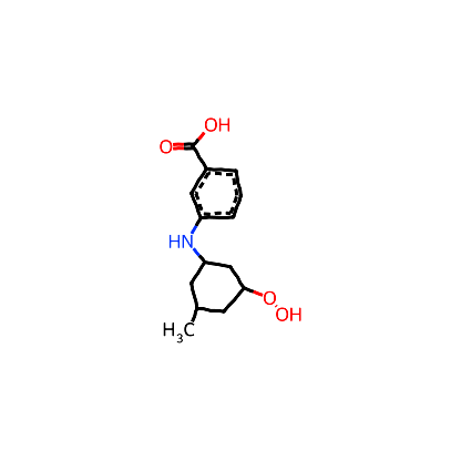 CC1CC(Nc2cccc(C(=O)O)c2)CC(OO)C1